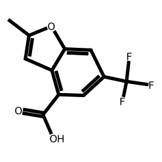 Cc1cc2c(C(=O)O)cc(C(F)(F)F)cc2o1